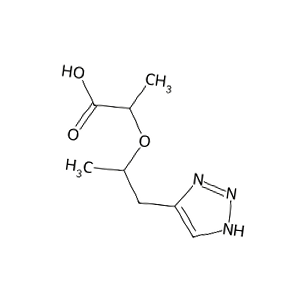 CC(Cc1c[nH]nn1)OC(C)C(=O)O